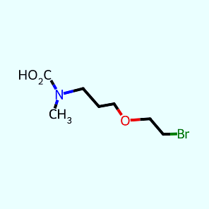 CN(CCCOCCBr)C(=O)O